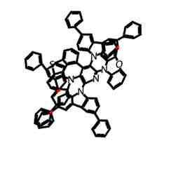 c1ccc(-c2ccc3c(c2)c2cc(-c4ccccc4)ccc2n3-c2nc(N3c4ccccc4Oc4ccccc43)c(-n3c4ccc(-c5ccccc5)cc4c4cc(-c5ccccc5)ccc43)c(-c3cccc4sc5ccccc5c34)c2-n2c3ccc(-c4ccccc4)cc3c3cc(-c4ccccc4)ccc32)cc1